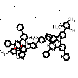 Cc1ccc(-c2ccc3c4ccc(-c5ccc(Cc6ccc7c(c6)c6cc(-c8c(C)cc(C)cc8C)ccc6n7-c6ccc(-c7ccccn7)cc6-c6nc(-c7ccccc7)nc(-c7ccccc7)n6)cc5C)cc4n(-c4ccc(-c5ccccn5)cc4-c4nc(-c5ccccc5)nc(-c5ccccc5)n4)c3c2)c(C)c1